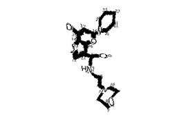 O=C(NCCN1CCOCC1)c1csc2c(=O)cc(N3CCCCC3)oc12